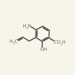 C=CCc1c(N)ccc(C(=O)O)c1O